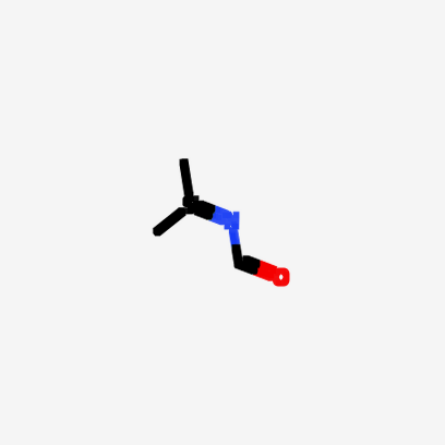 C[Si](C)=NC=O